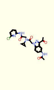 CC(=O)Nc1ccc2c(c1)c(C(C)=O)nn2CC(=O)N(CC(=O)Nc1cccc(Cl)n1)C1CC1